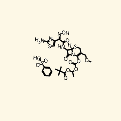 COCC1=C(OC(=O)OC(C)OC(=O)C(C)(C)C)N2C(=O)C(NC(=O)/C(=N\O)c3csc(N)n3)[C@@H]2SC1.O=S(=O)(O)c1ccccc1